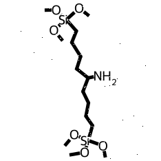 CO[Si](CCCCC(N)CCCC[Si](OC)(OC)OC)(OC)OC